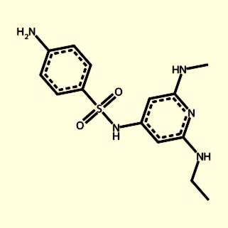 CCNc1cc(NS(=O)(=O)c2ccc(N)cc2)cc(NC)n1